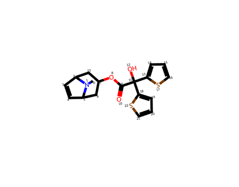 CN1C2C=CC1CC(OC(=O)C(O)(c1cccs1)c1cccs1)C2